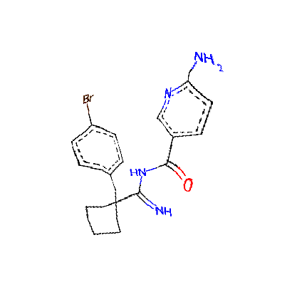 N=C(NC(=O)c1ccc(N)nc1)C1(c2ccc(Br)cc2)CCC1